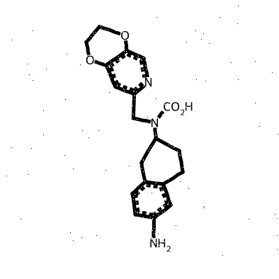 Nc1ccc2c(c1)CCC(N(Cc1cc3c(cn1)OCCO3)C(=O)O)C2